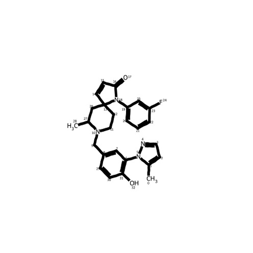 Cc1ccnn1-c1cc(CN2CCC3(C=CC(=O)N3c3cccc(F)c3)CC2C)ccc1O